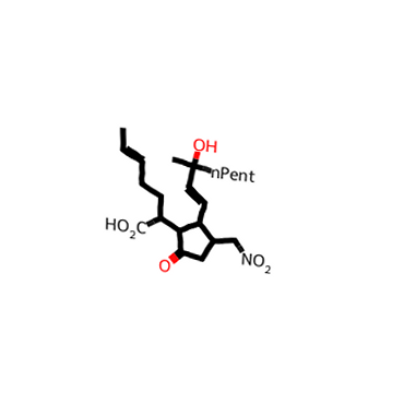 C/C=C/CCC(C(=O)O)C1C(=O)CC(C[N+](=O)[O-])C1/C=C/C(C)(O)CCCCC